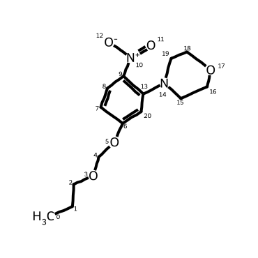 CCCOCOc1ccc([N+](=O)[O-])c(N2CCOCC2)c1